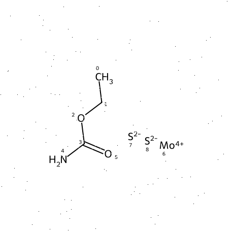 CCOC(N)=O.[Mo+4].[S-2].[S-2]